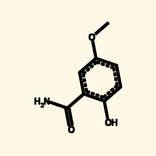 COc1ccc(O)c(C(N)=O)c1